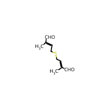 CC(C=O)=CCSCC=C(C)C=O